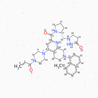 C=CC(=O)N1CCN(c2cc(C(=O)N3CCC[C@@H]3CN3CCC(=O)N3)nc3c2CCN(c2cccc4cccc(C)c24)C3)CC1